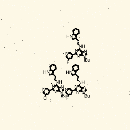 CCC(C)n1cnc2c(NCCc3c[nH]c4ccccc34)nc(-c3cncc(F)c3)nc21.CC[C@@H](C)n1cnc2c(NCCc3c[nH]c4ccccc34)nc(-c3cncc(C)c3)nc21.CC[C@H](C)n1cnc2c(NCCc3c[nH]c4ccccc34)nc(-c3cncc(F)c3)nc21